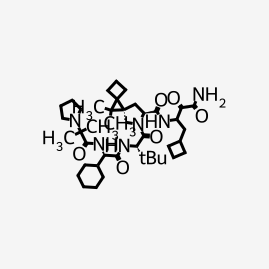 CC(C)(C)[C@H](NC(=O)[C@@H](NC(=O)C(C)(C)N1CCCC1)C1CCCCC1)C(=O)N1C[C@]2(C[C@H]1C(=O)NC(CC1CCC1)C(=O)C(N)=O)C(C)(C)C21CCC1